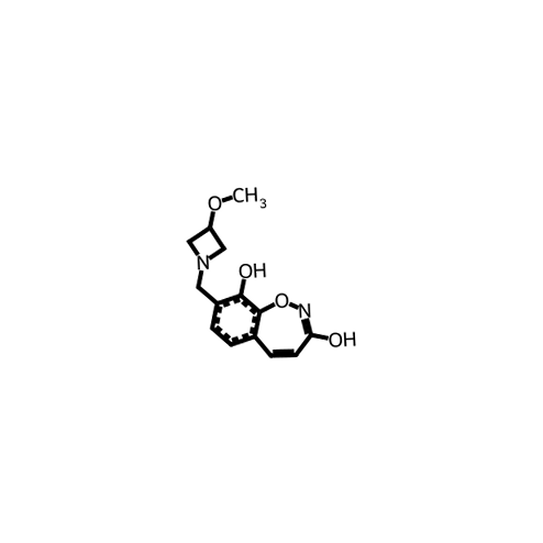 COC1CN(Cc2ccc3c(c2O)ON=C(O)C=C3)C1